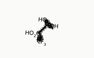 C#C[C@]1(O)CCC2C3C(CC[C@@]21C)c1ccc(O)cc1C[C@H]3CCCCCCCCC(CCCC(F)(F)C(F)(F)C(F)(F)C(F)(F)F)C(=O)O